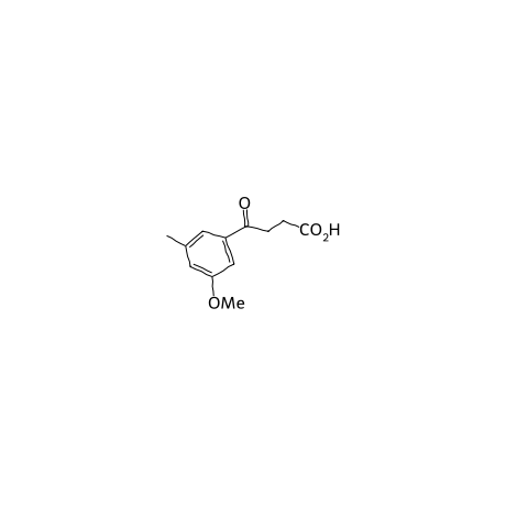 COc1cc(C)cc(C(=O)CCC(=O)O)c1